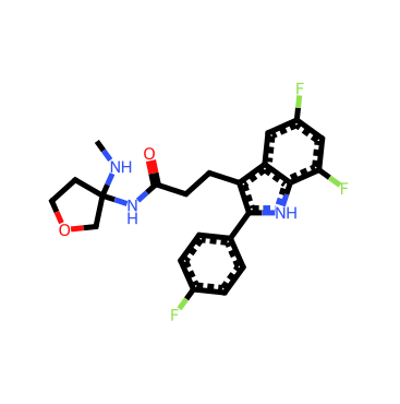 CNC1(NC(=O)CCc2c(-c3ccc(F)cc3)[nH]c3c(F)cc(F)cc23)CCOC1